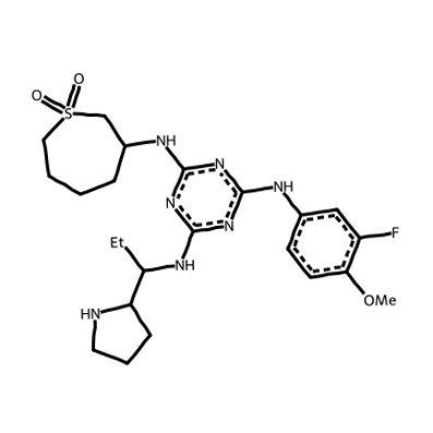 CCC(Nc1nc(Nc2ccc(OC)c(F)c2)nc(NC2CCCCS(=O)(=O)C2)n1)C1CCCN1